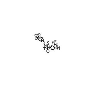 CCS(=O)(=O)N1CCN(CCN2C(=S)N(c3ccc(C#N)c(C(F)(F)F)c3)C(=O)C2(C)C)CC1